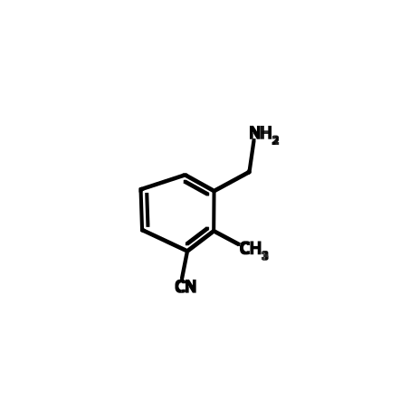 Cc1c(C#N)cccc1CN